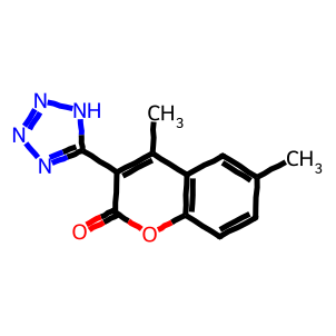 Cc1ccc2oc(=O)c(-c3nnn[nH]3)c(C)c2c1